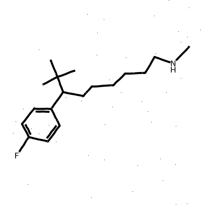 CNCCCCCCC(c1ccc(F)cc1)C(C)(C)C